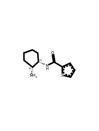 N[C@@H]1CCCC[C@@H]1NC(=O)c1c[c]cs1